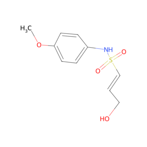 COc1ccc(NS(=O)(=O)C=CCO)cc1